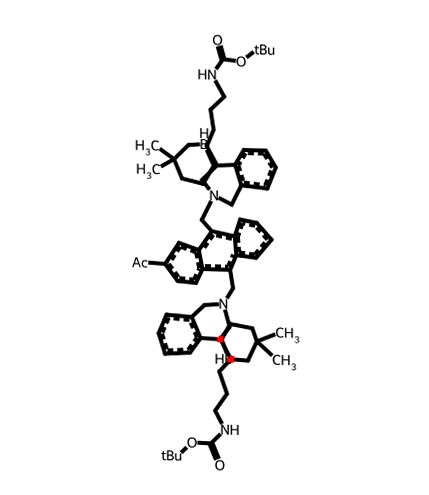 CC(=O)c1ccc2c(CN(CCCCCCNC(=O)OC(C)(C)C)Cc3ccccc3C3BCC(C)(C)CC3)c3ccccc3c(CN(CCCCCCNC(=O)OC(C)(C)C)Cc3ccccc3C3BCC(C)(C)CC3)c2c1